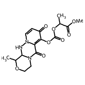 COC(=O)C(C)OC(=O)Oc1c2n(ccc1=O)NC1C(C)OCCN1C2=O